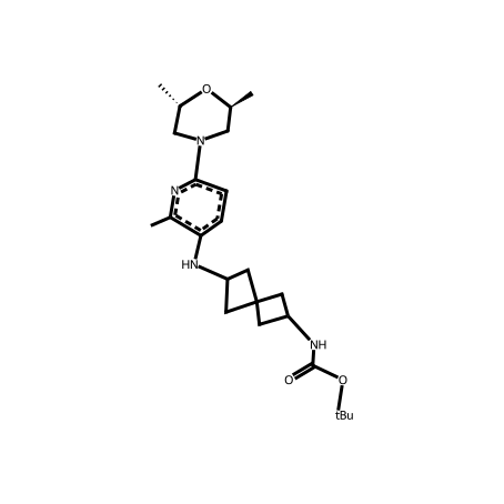 Cc1nc(N2C[C@H](C)O[C@@H](C)C2)ccc1NC1CC2(CC(NC(=O)OC(C)(C)C)C2)C1